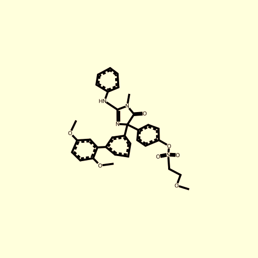 COCCS(=O)(=O)Oc1ccc(C2(c3cccc(-c4cc(OC)ccc4OC)c3)N=C(Nc3ccccc3)N(C)C2=O)cc1